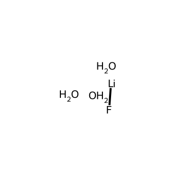 O.O.O.[Li][F]